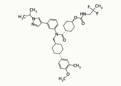 COc1ccc([C@H]2CC[C@H](CN(c3cccc(-c4cnn(C(C)C)c4)c3)C(=O)[C@H]3CC[C@H](OC(=O)NCC(C)(F)F)CC3)CC2)cc1C